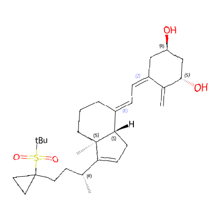 C=C1/C(=C\C=C2/CCC[C@]3(C)C([C@H](C)CCC4(S(=O)(=O)C(C)(C)C)CC4)=CC[C@@H]23)C[C@@H](O)C[C@@H]1O